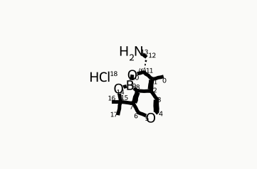 CC1=C2C=COCC3=C2B(O[C@@H]1CN)OC3(C)C.Cl